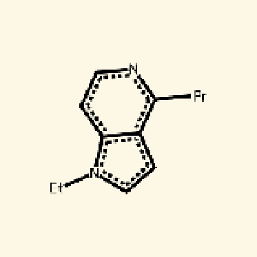 CCn1ccc2c(C(C)C)nccc21